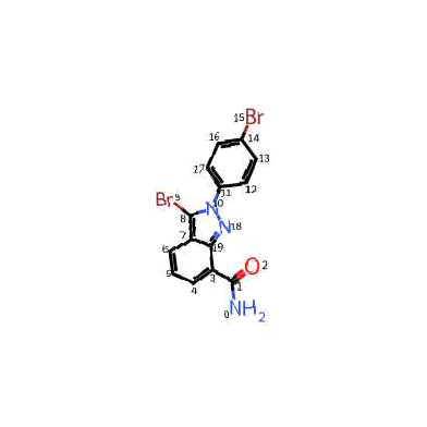 NC(=O)c1cccc2c(Br)n(-c3ccc(Br)cc3)nc12